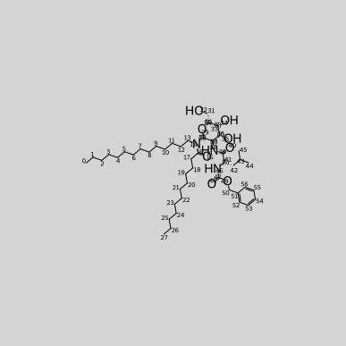 CCCCCCCCCCCCCCN(C(=O)CCCCCCCCCCC)[C@@H]1O[C@H](CO)[C@H](O)[C@H](O)[C@H]1NC(=O)[C@H](CC(C)C)NC(=O)OCc1ccccc1